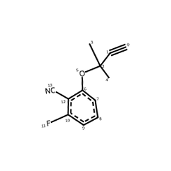 C#CC(C)(C)Oc1cccc(F)c1C#N